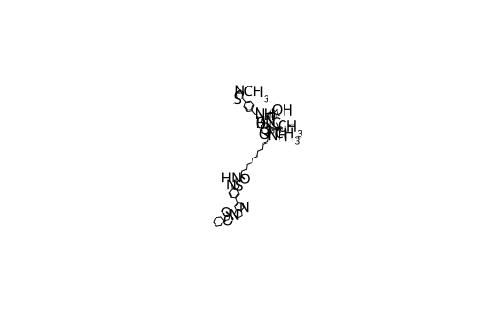 Cc1ncsc1-c1ccc(CNC(=O)[C@@H]2C[C@@H](O)CN2C(=O)[C@@H](NC(=O)CCCCCCCCCCC(=O)Nc2nc3ccc(-c4cnc5c(c4)N(C(=O)OC4CCCCC4)CC5)cc3s2)C(C)(C)C)cc1